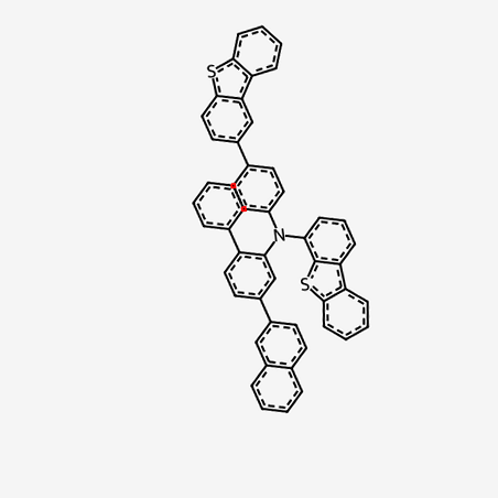 c1ccc(-c2ccc(-c3ccc4ccccc4c3)cc2N(c2ccc(-c3ccc4sc5ccccc5c4c3)cc2)c2cccc3c2sc2ccccc23)cc1